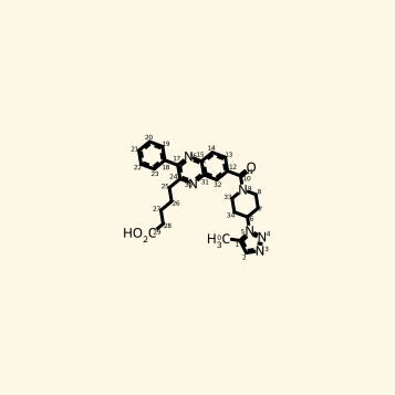 Cc1cnnn1C1CCN(C(=O)c2ccc3nc(-c4ccccc4)c(CCCCC(=O)O)nc3c2)CC1